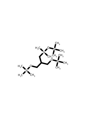 C[Si](C)(C)OCC(CO[Si](C)(C)C)C[Si](C)(C)O[Si](C)(C)C